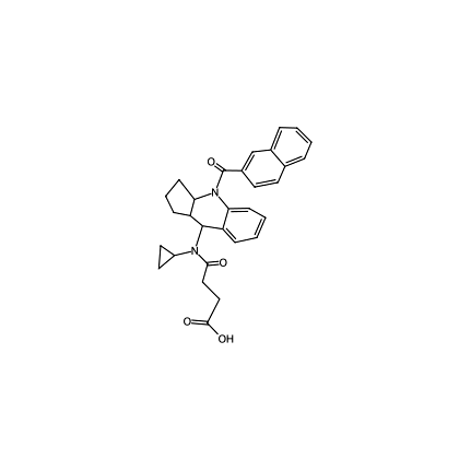 O=C(O)CCC(=O)N(C1CC1)C1c2ccccc2N(C(=O)c2ccc3ccccc3c2)C2CCCC21